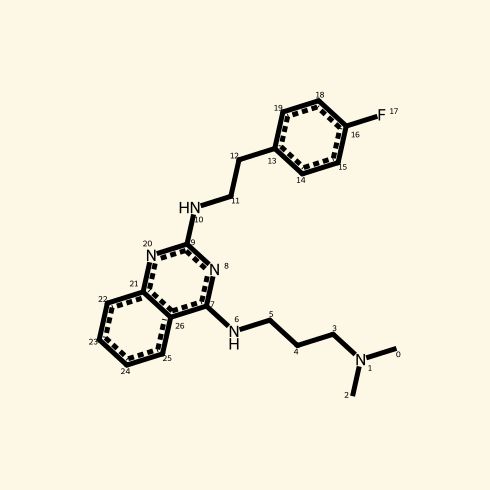 CN(C)CCCNc1nc(NCCc2ccc(F)cc2)nc2ccccc12